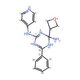 NC1(C2COC2)N=C(Nc2ccncc2)N=C(c2ccccc2)N1